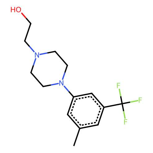 Cc1cc(N2CCN(CCO)CC2)cc(C(F)(F)F)c1